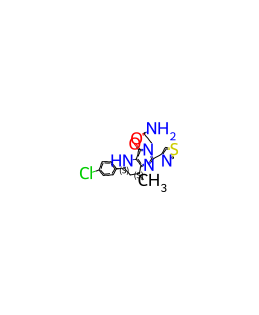 C[C@H]1C[C@@H](c2ccc(Cl)cc2)Nc2c1nc(-c1cscn1)n(CC(N)=O)c2=O